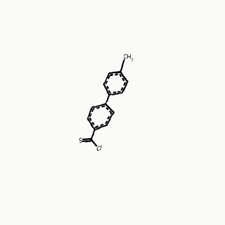 Cc1ccc(-c2ccc(C(=S)Cl)cc2)cc1